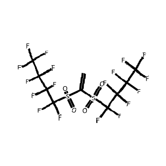 C=C(S(=O)(=O)C(F)(F)C(F)(F)C(F)(F)C(F)(F)F)S(=O)(=O)C(F)(F)C(F)(F)C(F)(F)C(F)(F)F